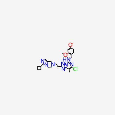 COc1ccc(CNc2nc(Cl)c(C)c3nc(CCN4CCn5c(cnc5C5CCC5)C4)nn23)c(OC)c1